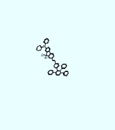 CCC1(CC)c2cc(/C=C/c3ccc(-c4c(-c5ccccc5)ccc(-c5ccccc5)c4-c4ccccc4)cc3)ccc2-c2ccc(N(C3=CCCC=C3)c3ccccc3)cc21